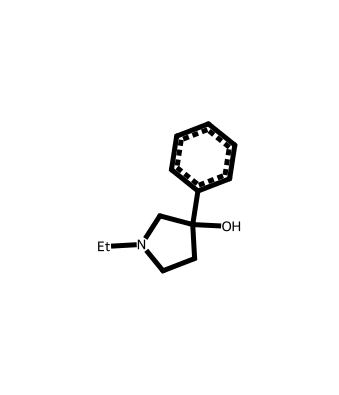 CCN1CCC(O)(c2ccccc2)C1